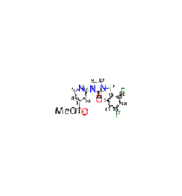 COC(=O)c1ccnc(N2CCN(Cc3ccc(F)cc3F)C2=O)c1